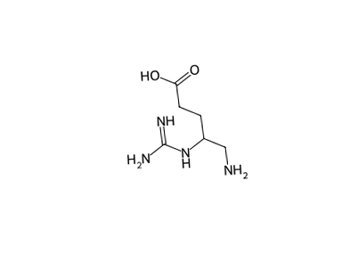 N=C(N)NC(CN)CCC(=O)O